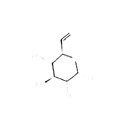 O=C[C@H]1O[C@H](O)[C@H](O)[C@@H](O)[C@@H]1O